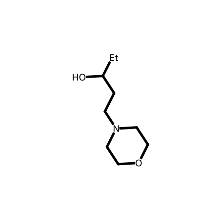 CCC(O)CCN1CCOCC1